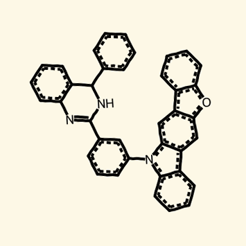 c1ccc(C2NC(c3cccc(-n4c5ccccc5c5cc6oc7ccccc7c6cc54)c3)=Nc3ccccc32)cc1